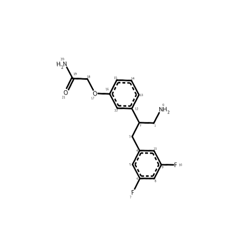 NCC(Cc1cc(F)cc(F)c1)c1cccc(OCC(N)=O)c1